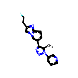 Cc1c(-c2ccc3nc(CCF)cn3c2)nnn1-c1cccnc1